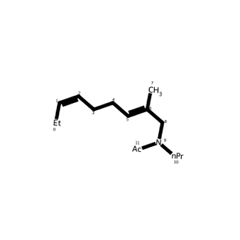 CC/C=C\CC/C=C(\C)CN(CCC)C(C)=O